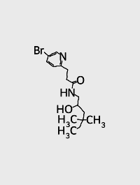 CCC(C)(C)CC(O)CNC(=O)CCc1ccc(Br)cn1